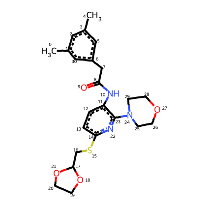 Cc1cc(C)cc(CC(=O)Nc2ccc(SCC3OCCO3)nc2N2CCOCC2)c1